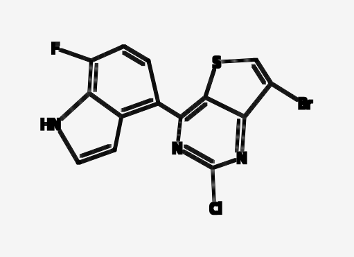 Fc1ccc(-c2nc(Cl)nc3c(Br)csc23)c2cc[nH]c12